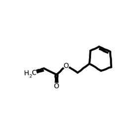 C=CC(=O)OCC1CC=CCC1